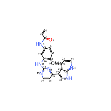 C=CC(=O)Nc1ccc(OC)c(Nc2nccc(-c3c[nH]c4ncccc34)n2)c1